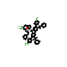 CC(C)(c1ccccc1)c1cc2c(cc1-c1ccc(Cl)cc1)[CH]([Zr+2]([C]1=CC=CC1)=[C](Cc1ccccc1)Cc1ccccc1)c1cc(-c3ccc(Cl)cc3)c(C(C)(C)c3ccccc3)cc1-2.[Cl-].[Cl-]